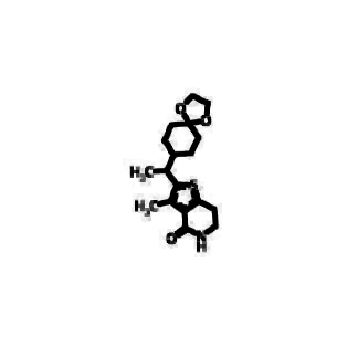 Cc1c(C(C)C2CCC3(CC2)OCCO3)sc2c1C(=O)NCC2